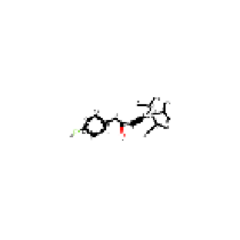 CC(C)[Si](C#CC(=O)Cc1ccc(F)cc1)(C(C)C)C(C)C